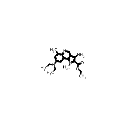 CCOC(=O)c1c(N)c2cnc3c(C)cc(N(CC)CC)cc3c2n1C